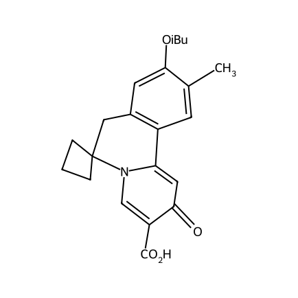 Cc1cc2c(cc1OCC(C)C)CC1(CCC1)n1cc(C(=O)O)c(=O)cc1-2